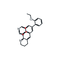 CCOc1ccccc1-c1ccc(OC)c(/C=C2/CCCN=C2c2cccnc2)c1